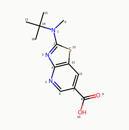 CN(c1nc2ncc(C(=O)O)cc2s1)C(C)(C)C